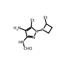 CCc1c(N)c(NC=O)nn1N1CCC1CC